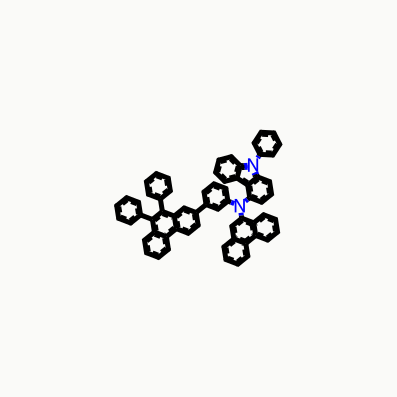 c1ccc(-c2c(-c3ccccc3)c3cc(-c4cccc(N(c5cc6ccccc6c6ccccc56)c5cccc6c5c5ccccc5n6-c5ccccc5)c4)ccc3c3ccccc23)cc1